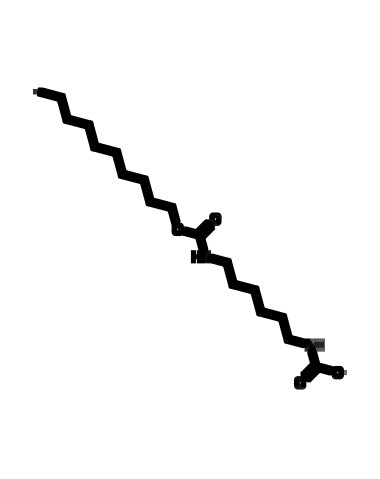 [CH2]CCCCCCCCCOC(=O)NCCCCCCNC([O])=O